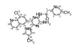 Cc1ccc(CC(=O)Nc2nc(-c3cc(Cl)c4ncccc4c3)c(-n3cc(C)cn3)nc2N)nc1